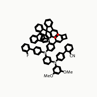 COc1cc(OC)cc(N(c2ccc(-c3ccccc3C#N)cc2)c2cccc(N(c3ccc(-c4ccccc4F)cc3)c3ccc(-c4ccc5c(c4)CC5)c(N(c4ccc5ccccc5c4)c4cccc5c4C4(c6ccccc6-c6ccccc64)c4ccccc4-5)c3)c2)c1